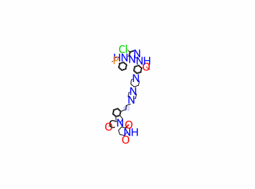 COc1cc(N2CCC(N3CCN(C/C=C/c4cccc5c4CN(C4CCC(=O)NC4=O)C5=C=O)CC3)CC2)ccc1Nc1ncc(Cl)c(Nc2ccccc2P(C)C)n1